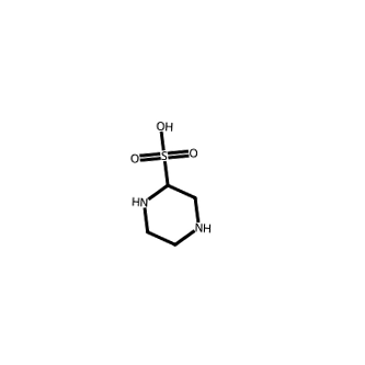 O=S(=O)(O)C1CNCCN1